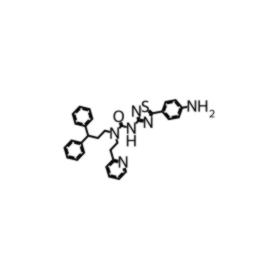 Nc1ccc(-c2nc(NC(=O)N(CCc3ccccn3)CCC(c3ccccc3)c3ccccc3)ns2)cc1